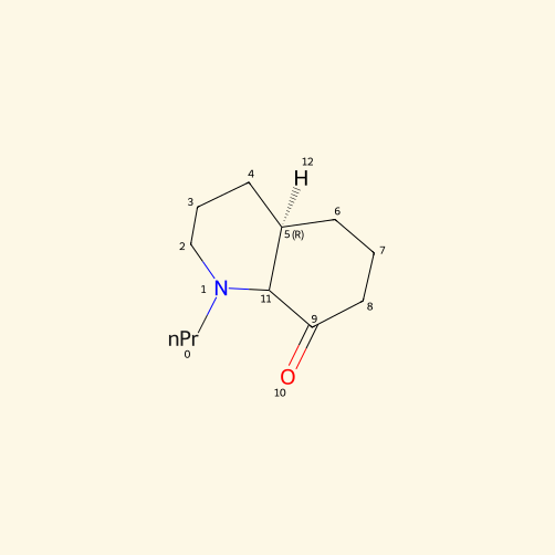 CCCN1CCC[C@H]2CCCC(=O)C21